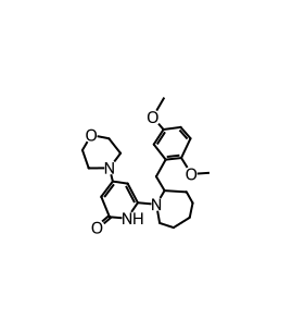 COc1ccc(OC)c(CC2CCCCCN2c2cc(N3CCOCC3)cc(=O)[nH]2)c1